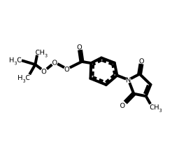 CC1=CC(=O)N(c2ccc(C(=O)OOOC(C)(C)C)cc2)C1=O